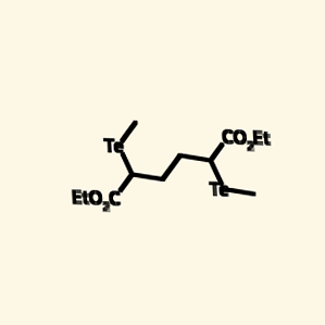 CCOC(=O)C(CCC([Te]C)C(=O)OCC)[Te]C